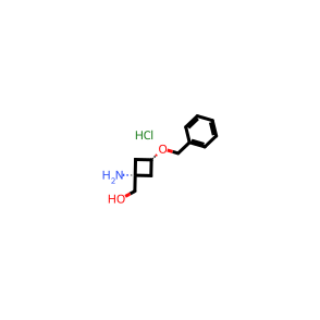 Cl.N[C@]1(CO)C[C@H](OCc2ccccc2)C1